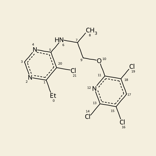 CCc1ncnc(NC(C)COc2nc(Cl)c(Cl)cc2Cl)c1Cl